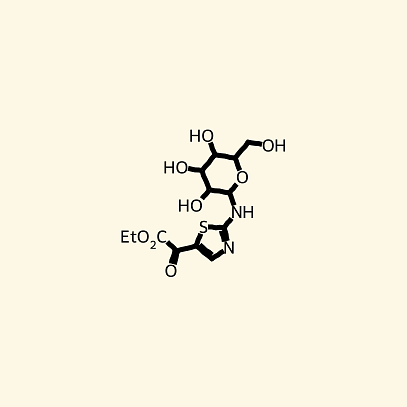 CCOC(=O)C(=O)c1cnc(NC2OC(CO)C(O)C(O)C2O)s1